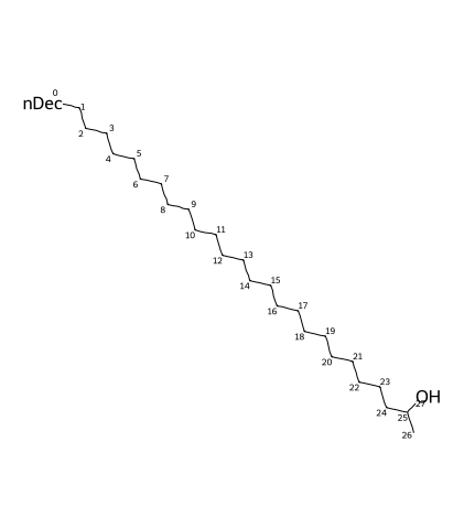 CCCCCCCCCCCCCCCCCCCCCCCCCCCCCCCCCCC(C)O